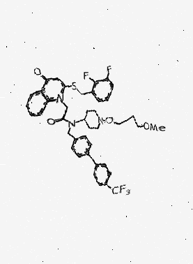 COCCCON1CCC(N(Cc2ccc(-c3ccc(C(F)(F)F)cc3)cc2)C(=O)Cn2c(SCc3cccc(F)c3F)cc(=O)c3ccccc32)CC1